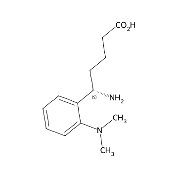 CN(C)c1ccccc1[C@@H](N)CCCC(=O)O